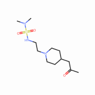 CC(=O)CC1CCN(CCNS(=O)(=O)N(C)C)CC1